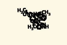 C=CC(=O)N1CCN2c3nc(=O)n(-c4c(C)ccnc4C(C)C)c4nc(-c5c(C)ccc6[nH]ncc56)c(F)c(c34)OCC2C1